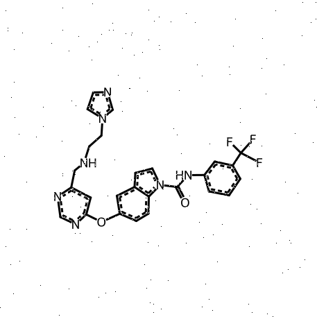 O=C(Nc1cccc(C(F)(F)F)c1)n1ccc2cc(Oc3cc(CNCCn4ccnc4)ncn3)ccc21